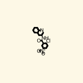 O=C(Nc1cnc2ccccc2c1)c1cc([N+](=O)[O-])ccc1Cl